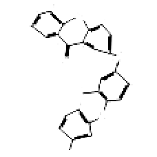 Cc1cccc(Sc2ccc(Sc3ccc4sc5ccccc5c(=O)c4c3)cc2C)c1